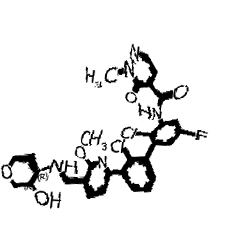 COc1nc(-c2cccc(-c3cc(F)cc(NC(=O)c4ccnn(C)c4=O)c3Cl)c2Cl)ccc1CN[C@@H]1CCOC[C@@H]1O